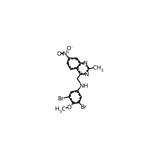 COc1c(Br)cc(NCc2nc(C)nc3cc([N+](=O)[O-])ccc23)cc1Br